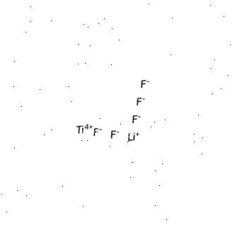 [F-].[F-].[F-].[F-].[F-].[Li+].[Ti+4]